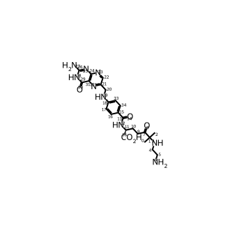 CC(C)(NCCN)C(=O)CC[C@H](NC(=O)c1ccc(NCc2cnc3nc(N)[nH]c(=O)c3n2)cc1)C(=O)O